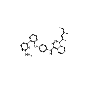 C/C=C(C)\C=C(/C)C1N=NC(Nc2ccc(Oc3ncccc3-c3ccnc(N)n3)cc2)=C2C=CC=CC21